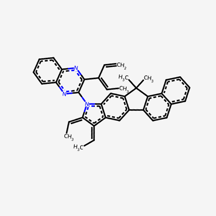 C=C/C(=C\C)c1nc2ccccc2nc1-n1c(=C/C)/c(=C\C)c2cc3c(cc21)C(C)(C)c1c-3ccc2ccccc12